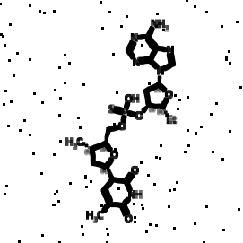 CC[C@H]1O[C@@H](n2cnc3c(N)ncnc32)C[C@@H]1OP(O)(=S)OC[C@H]1O[C@@H](C2C=C(C)C(=O)NC2=O)C[C@@H]1C